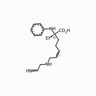 CC[C@@](CC/C=C\CNCC=N)(Nc1ccccc1)C(=O)O